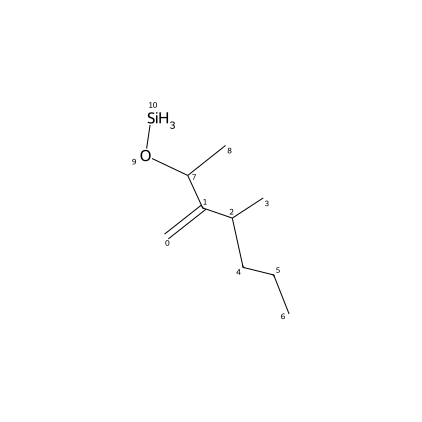 C=C(C(C)CCC)C(C)O[SiH3]